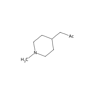 CC(=O)CC1CCN(C)CC1